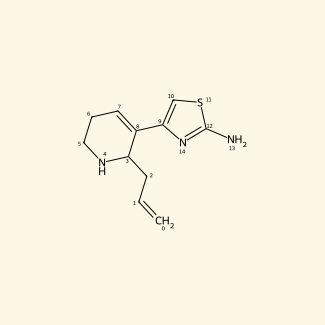 C=CCC1NCCC=C1c1csc(N)n1